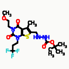 COCCn1c(=O)c2c(C)c(CNNC(=O)OC(C)(C)C)sc2n(CCC(F)(F)F)c1=O